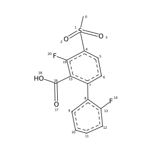 CS(=O)(=O)c1ccc(-c2ccccc2F)c(C(=O)O)c1F